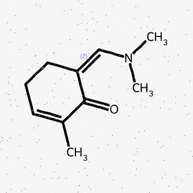 CC1=CCC/C(=C/N(C)C)C1=O